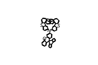 c1ccc(-c2cccc3sc4ccc(N(c5ccc6c(c5)Oc5ccccc5C65c6ccccc6-c6ccccc65)c5ccc6sc7cccc(-c8ccccc8)c7c6c5)cc4c23)cc1